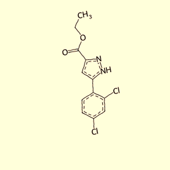 CCOC(=O)c1cc(-c2ccc(Cl)cc2Cl)[nH]n1